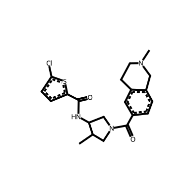 CC1CN(C(=O)c2ccc3c(c2)CCN(C)C3)CC1NC(=O)c1ccc(Cl)s1